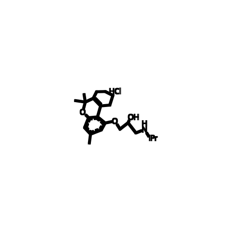 Cc1cc(OCC(O)CNC(C)C)c2c(c1)OC(C)(C)C1=C2CCCC1.Cl